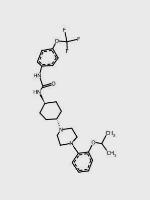 CC(C)Oc1ccccc1N1CCN([C@H]2CC[C@H](NC(=O)Nc3ccc(OC(F)(F)F)cc3)CC2)CC1